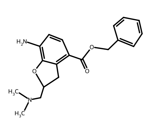 CN(C)CC1Cc2c(C(=O)OCc3ccccc3)ccc(N)c2O1